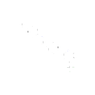 CC(C)c1ccc(NC(=O)c2ccc(-c3cc(C(F)(F)F)ccn3)cc2)cc1